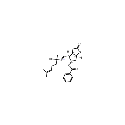 CC(C)=CCCC(C)(O)/C=C/[C@@H]1[C@H]2CC(=O)O[C@H]2C[C@H]1OC(=O)c1ccccc1